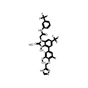 COc1cc(-c2cc(C(F)(F)F)cc3c2n(C)c(=O)n3CC(=O)Nc2cccc(C(F)(F)F)c2)cc(F)c1OCc1nnc[nH]1.Cl